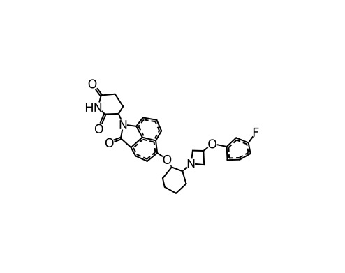 O=C1CCC(N2C(=O)c3ccc(O[C@H]4CCCC[C@@H]4N4CC(Oc5cccc(F)c5)C4)c4cccc2c34)C(=O)N1